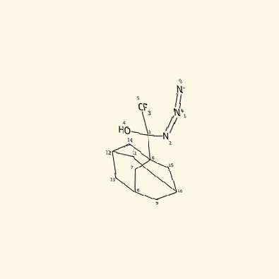 [N-]=[N+]=NC(O)(C(F)(F)F)C12CC3CC(CC(C3)C1)C2